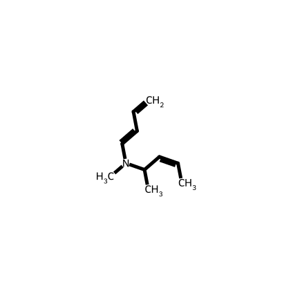 C=C/C=C/N(C)C(C)/C=C\C